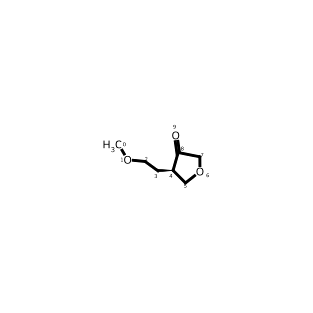 COCC[C@@H]1COCC1=O